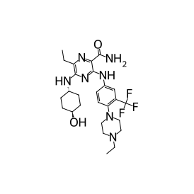 CCc1nc(C(N)=O)c(Nc2ccc(N3CCN(CC)CC3)c(C(F)(F)F)c2)nc1N[C@H]1CC[C@H](O)CC1